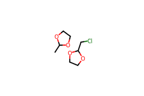 CC1OCCO1.ClCC1OCCO1